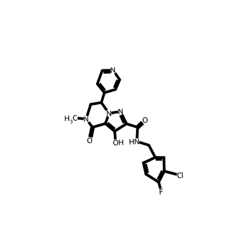 CN1CC(c2ccncc2)n2nc(C(=O)NCc3ccc(F)c(Cl)c3)c(O)c2C1=O